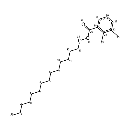 [CH2]CCCCCCCCCCCCCOOC(=O)c1cccc(C)c1C